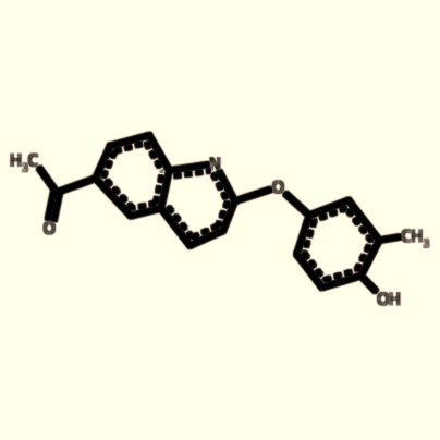 CC(=O)c1ccc2nc(Oc3ccc(O)c(C)c3)ccc2c1